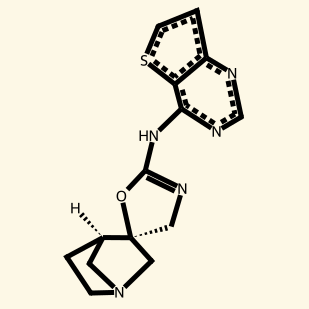 c1nc(NC2=NC[C@@]3(CN4CC[C@@H]3C4)O2)c2sccc2n1